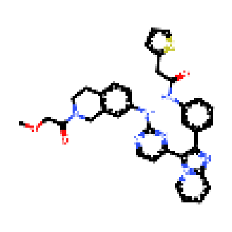 COCC(=O)N1CCc2ccc(Nc3nccc(-c4c(-c5cccc(NC(=O)Cc6cccs6)c5)nc5ccccn45)n3)cc2C1